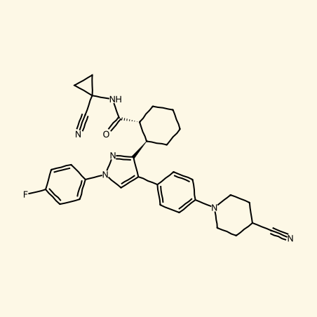 N#CC1CCN(c2ccc(-c3cn(-c4ccc(F)cc4)nc3[C@@H]3CCCC[C@H]3C(=O)NC3(C#N)CC3)cc2)CC1